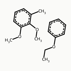 CCOc1ccccc1.COc1cccc(C)c1OC